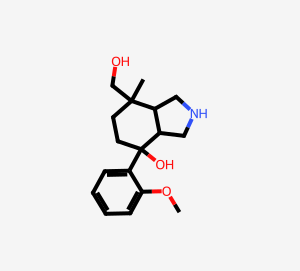 COc1ccccc1C1(O)CCC(C)(CO)C2CNCC21